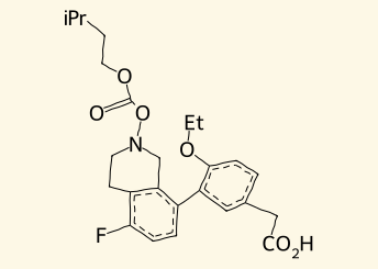 CCOc1ccc(CC(=O)O)cc1-c1ccc(F)c2c1CN(OC(=O)OCCC(C)C)CC2